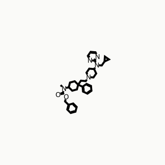 CN(C(=O)OCc1ccccc1)C1CCC(CCN2CCC(N(CC3CC3)c3ncccn3)CC2)(c2ccccc2)CC1